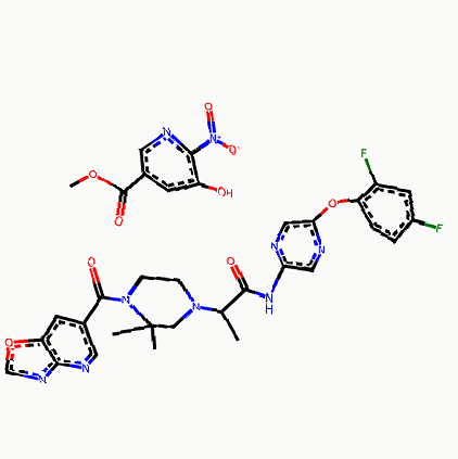 CC(C(=O)Nc1cnc(Oc2ccc(F)cc2F)cn1)N1CCN(C(=O)c2cnc3ncoc3c2)C(C)(C)C1.COC(=O)c1cnc([N+](=O)[O-])c(O)c1